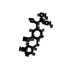 CN(C)C(=O)c1ccc(Cc2cn[nH]c2)c(C#N)c1